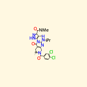 CNC(=O)c1n[nH]c(-n2c(NC(C)C)nc3c(c2=O)C[C@@H](C)N(C(=O)c2ccc(Cl)c(Cl)c2)C3)c1C